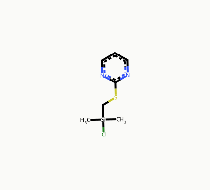 C[Si](C)(Cl)CSc1ncccn1